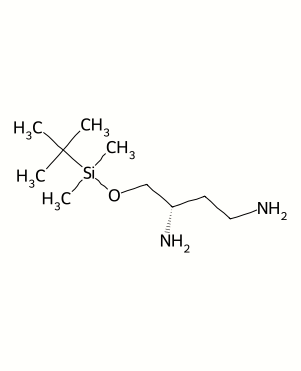 CC(C)(C)[Si](C)(C)OC[C@@H](N)CCN